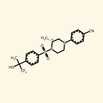 C[C@@H]1CN(c2ccc(C#N)cc2)CCN1S(=O)(=O)c1ccc(C(C)(O)C(F)(F)F)cc1